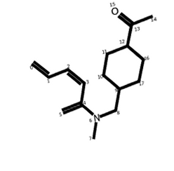 C=C/C=C\C(=C)N(C)CC1CCC(C(C)=O)CC1